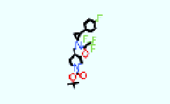 CC(C)(C)OC(=O)N1CCC(CN(C(=O)C(F)(F)F)C2CC2c2ccc(F)cc2)CC1